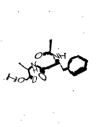 CC(=O)N[C@@H](Cc1ccccc1)C(=O)N[C@H](C)C(=O)O